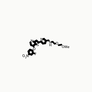 COCCOCCNCc1ccc(-c2cc3nccc(Oc4ccc([N+](=O)[O-])cc4F)c3s2)nc1